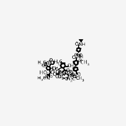 CC(C)N1C(=O)c2ccccc2NS1(=O)=O.CCc1cc(C)cc(CC)c1-c1c(OC(=O)C(C)(C)C)n2n(c1=O)CCOCC2.COc1ccccc1C(=O)NS(=O)(=O)c1ccc(C(=O)NC2CC2)cc1.Cc1c(C(=O)c2cnn(C)c2O)ccc(S(C)(=O)=O)c1C1=NOCC1